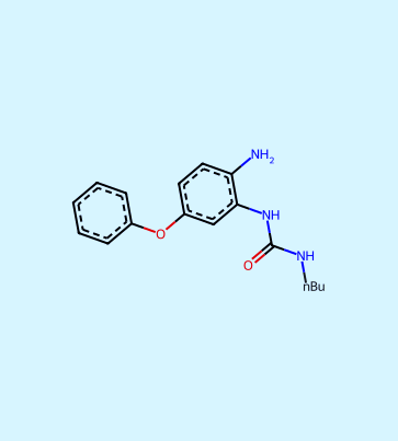 CCCCNC(=O)Nc1cc(Oc2ccccc2)ccc1N